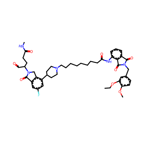 CCOc1cc(CN2C(=O)c3cccc(NC(=O)CCCCCCCCN4CCC(c5cc(F)cc6c5CN(C(C=O)CCC(=O)NC)C6=O)CC4)c3C2=O)ccc1OC